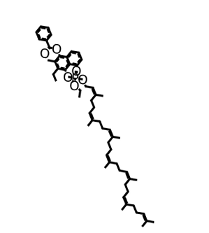 CCOP(=O)(OCC=C(C)CCC=C(C)CCC=C(C)CCC=C(C)CCC=C(C)CCC=C(C)CCC=C(C)C)Oc1c(CC)c(C)c(OC(=O)c2ccccc2)c2ccccc12